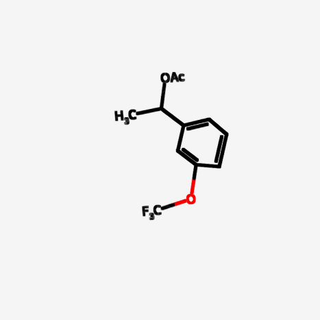 CC(=O)OC(C)c1cccc(OC(F)(F)F)c1